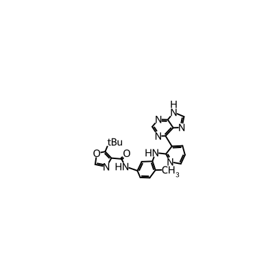 Cc1ccc(NC(=O)c2ncoc2C(C)(C)C)cc1Nc1ncccc1-c1ncnc2[nH]cnc12